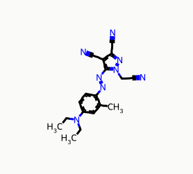 CCN(CC)c1ccc(N=Nc2c(C#N)c(C#N)nn2CC#N)c(C)c1